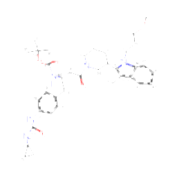 COCCCn1c(C2CCCN(C(=O)C[C@@H](Cc3ccc(NC(=O)NC4CC4)cc3)NC(=O)OC(C)(C)C)C2)c(C)c2ccccc21